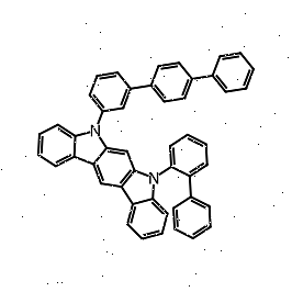 c1ccc(-c2ccc(-c3cccc(-n4c5ccccc5c5cc6c7ccccc7n(-c7ccccc7-c7ccccc7)c6cc54)c3)cc2)cc1